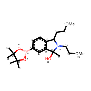 COCCC1c2ccc(B3OC(C)(C)C(C)(C)O3)cc2C(C)(O)N1CCOC